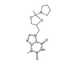 Cn1c(=O)[nH]c(=O)c2c1ncn2CC1COC(C)(N2CCCC2)O1